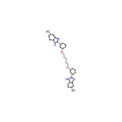 [C-]#[N+]c1ccc2[nH]c(-c3cccc(OCCCCCOc4cccc(-c5nc6cc(C#N)ccc6[nH]5)c4)c3)nc2c1